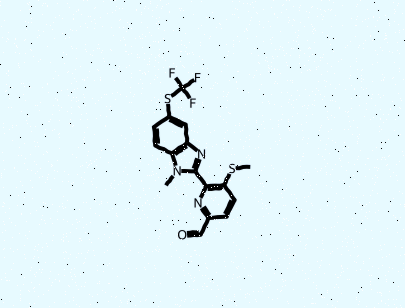 CSc1ccc(C=O)nc1-c1nc2cc(SC(F)(F)F)ccc2n1C